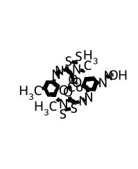 CCn1c2c(sc1=S)N=Nc1cc(C)ccc1[O][Co]1([O]c3ccc(/N=N/O)cc3N=Nc3sc(=S)n(CC)c3[O]1)[O]2